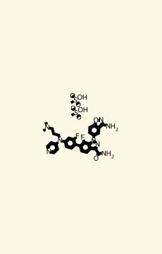 CN(C)CCCN(c1ccncc1)c1ccc(-c2ccc3c(C(N)=O)nn(-c4ccc5onc(N)c5c4)c3c2F)c(F)c1.CS(=O)(=O)O.CS(=O)(=O)O